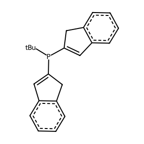 CC(C)(C)P(C1=Cc2ccccc2C1)C1=Cc2ccccc2C1